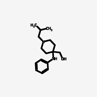 C[C](C)CN1CCC(CO)(Nc2ccccc2)CC1